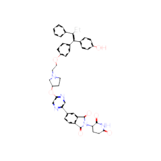 CC/C(=C(\c1ccc(O)cc1)c1ccc(OCCN2CCC(Oc3cnc(-c4ccc5c(c4)C(=O)N(C4CCC(=O)NC4=O)C5=O)cn3)C2)cc1)c1ccccc1